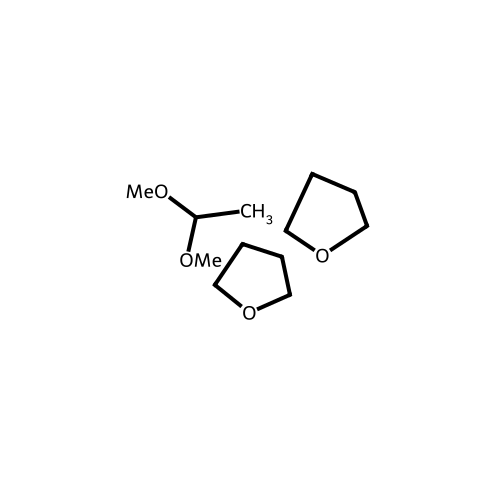 C1CCOC1.C1CCOC1.COC(C)OC